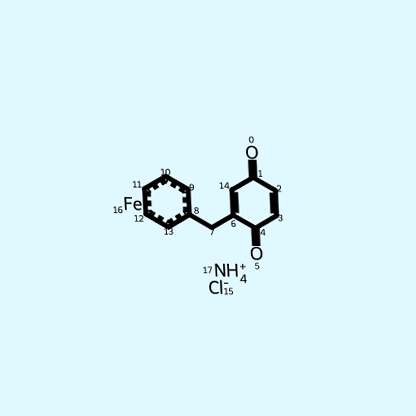 O=C1C=CC(=O)C(Cc2ccccc2)=C1.[Cl-].[Fe].[NH4+]